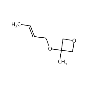 CC=CCOC1(C)COC1